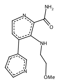 COCCNc1c(-c2cccnc2)ccnc1C(N)=O